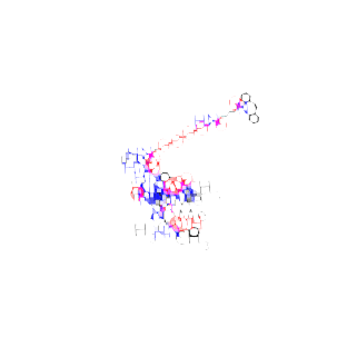 CCC(C)[C@@H]([C@@H](CC(=O)N1CCC[C@H]1[C@H](OC)[C@@H](C)C(=O)N[C@H](C)[C@@H](O)c1ccccc1)OC)N(C)C(=O)[C@@H](NC(=O)[C@H](C(C)C)N(C)C(=O)OCc1ccc(NC(=O)C(CCCNC(N)=O)NC(=O)[C@@H](NC(=O)CCOCCOCCOCCOCCNC(=O)CCCCC(=O)N2Cc3ccccc3C#Cc3ccccc32)C(C)C)cc1)C(C)C